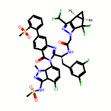 CN1N=C(NS(C)(=O)=O)C2C(Cl)=CC=C(n3c([C@H](Cc4cc(F)cc(F)c4)NC(=O)Cn4nc(C(F)F)c5c4C(F)(F)[C@@H]4C[C@H]54)nc4cc(-c5ccccc5S(C)(=O)=O)ccc4c3=O)C21